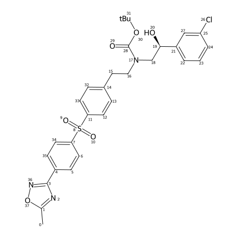 Cc1nc(-c2ccc(S(=O)(=O)c3ccc(CCN(C[C@@H](O)c4cccc(Cl)c4)C(=O)OC(C)(C)C)cc3)cc2)no1